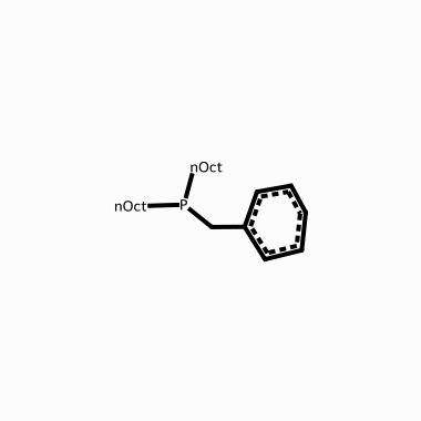 CCCCCCCCP(CCCCCCCC)Cc1ccccc1